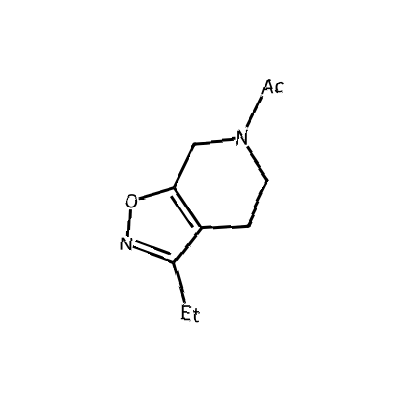 CCc1noc2c1CCN(C(C)=O)C2